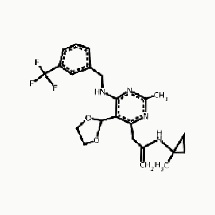 C=C(Cc1nc(C)nc(NCc2cccc(C(F)(F)F)c2)c1C1OCCO1)NC1(C)CC1